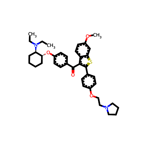 CCN(CC)[C@@H]1CCCC[C@H]1Oc1ccc(C(=O)c2c(-c3ccc(OCCN4CCCC4)cc3)sc3cc(OC)ccc23)cc1